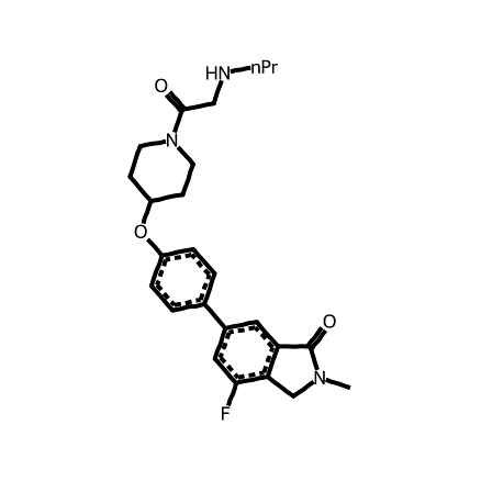 CCCNCC(=O)N1CCC(Oc2ccc(-c3cc(F)c4c(c3)C(=O)N(C)C4)cc2)CC1